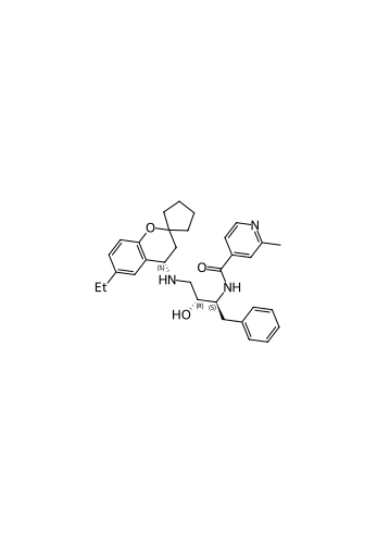 CCc1ccc2c(c1)[C@@H](NC[C@@H](O)[C@H](Cc1ccccc1)NC(=O)c1ccnc(C)c1)CC1(CCCC1)O2